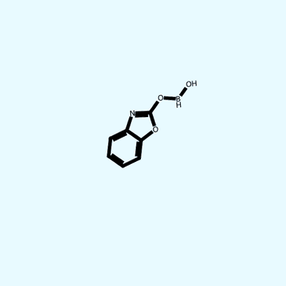 OBOc1nc2ccccc2o1